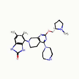 Cc1cc2[nH]c(=O)[nH]c2c(N2CCc3c(nc(OC[C@@H]4CCCN4C)nc3N3CCNCC3)C2)c1C